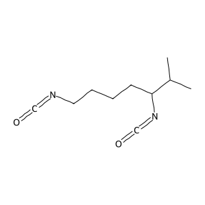 CC(C)C(CCCCN=C=O)N=C=O